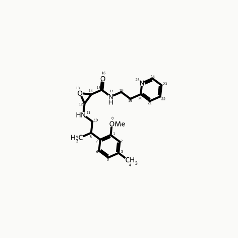 COc1cc(C)ccc1C(C)CNC1OC1C(=O)NCCc1ccccn1